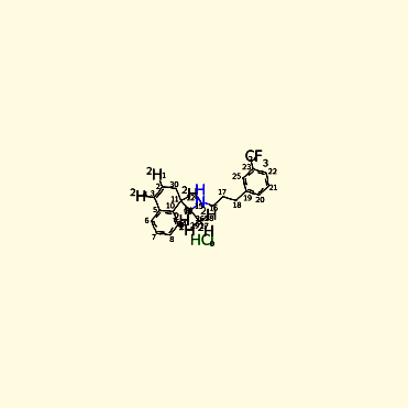 Cl.[2H]C1=C([2H])c2ccccc2C([2H])([C@]([2H])(NCCCc2cccc(C(F)(F)F)c2)C([2H])([2H])[2H])C1